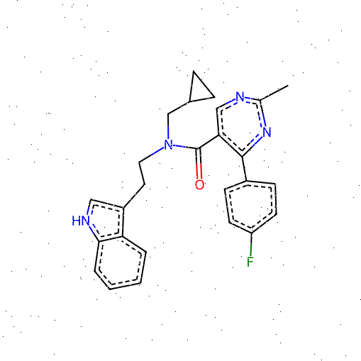 Cc1ncc(C(=O)N(CCc2c[nH]c3ccccc23)CC2CC2)c(-c2ccc(F)cc2)n1